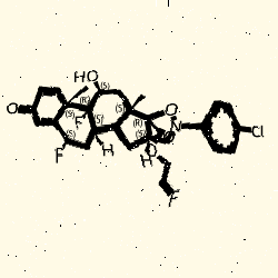 C[C@]12C=CC(=O)C=C1[C@@H](F)C[C@H]1C3C[C@H]4CN(c5ccc(Cl)cc5)O[C@@]4(C(=O)OCCF)[C@@]3(C)C[C@H](O)[C@@]12F